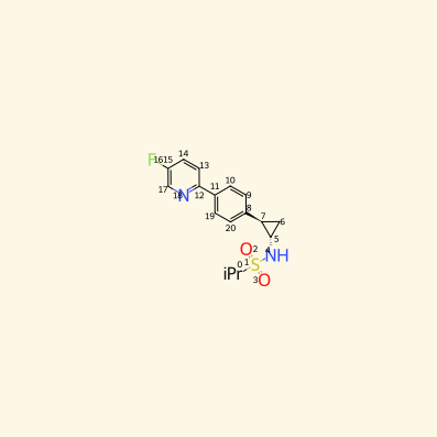 CC(C)S(=O)(=O)N[C@H]1C[C@@H]1c1ccc(-c2ccc(F)cn2)cc1